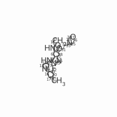 C=CC(=O)Nc1cc2c(Nc3ccnc(-c4ccc(C)cc4F)c3)ncnc2cc1OCCCN1CCOCC1